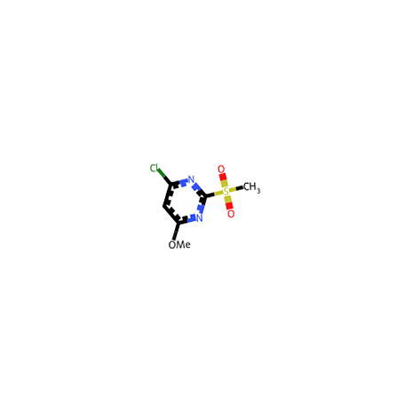 COc1cc(Cl)nc(S(C)(=O)=O)n1